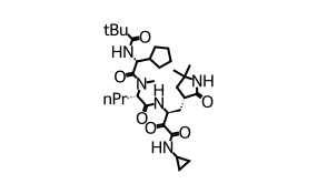 CCC[C@@H](C(=O)N[C@@H](C[C@@H]1CC(C)(C)NC1=O)C(=O)C(=O)NC1CC1)N(C)C(=O)[C@H](NC(=O)C(C)(C)C)C1CCCC1